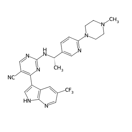 C[C@H](Nc1ncc(C#N)c(-c2c[nH]c3ncc(C(F)(F)F)cc23)n1)c1ccc(N2CCN(C)CC2)nc1